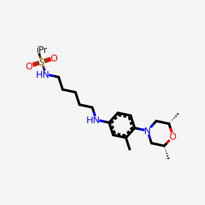 Cc1cc(NCCCCCNS(=O)(=O)C(C)C)ccc1N1C[C@@H](C)O[C@@H](C)C1